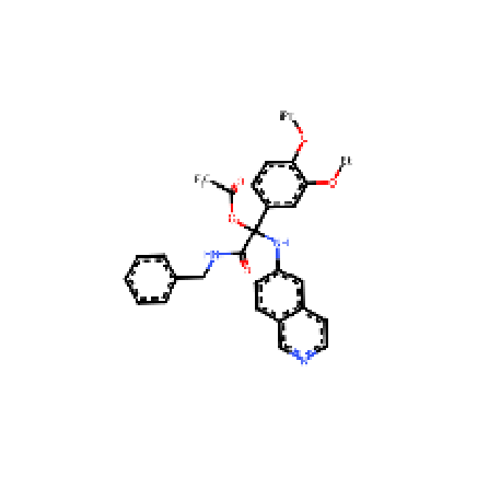 CCOc1cc(C(Nc2ccc3cnccc3c2)(OC(=O)C(F)(F)F)C(=O)NCc2ccccc2)ccc1OC(C)C